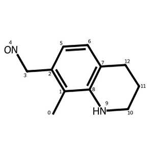 Cc1c(CN=O)ccc2c1NCCC2